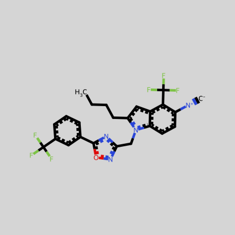 [C-]#[N+]c1ccc2c(cc(CCCC)n2Cc2noc(-c3cccc(C(F)(F)F)c3)n2)c1C(F)(F)F